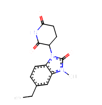 Cn1c(=O)n(C2CCC(=O)NC2=O)c2ccc(CC(C)(C)C)cc21